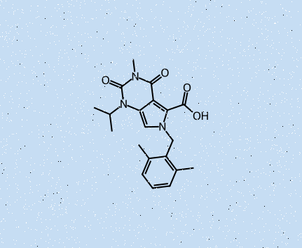 Cc1cccc(C)c1Cn1cc2c(c1C(=O)O)c(=O)n(C)c(=O)n2C(C)C